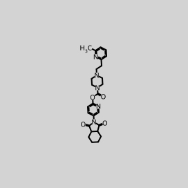 Cc1cccc(CCN2CCN(C(=O)Oc3ccc(N4C(=O)C5CCCCC5C4=O)cn3)CC2)n1